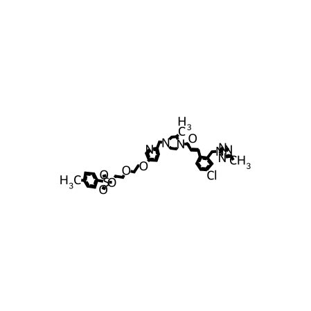 Cc1ccc(S(=O)(=O)OCCOCCOc2ccc(CN3CCN(C(=O)C=Cc4ccc(Cl)cc4Cn4nnc(C)n4)C(C)C3)nc2)cc1